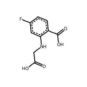 O=C(O)CNc1cc(F)ccc1C(=O)O